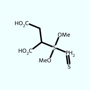 COS(OC)([PH2]=S)C(CC(=O)O)C(=O)O